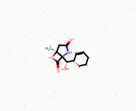 C[C@]12CC(=O)N[C@@]1([C@@H](O)[C@@H]1C=CCCC1)C(=O)O2